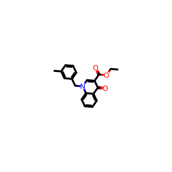 CCOC(=O)c1cn(Cc2cccc(C)c2)c2ccccc2c1=O